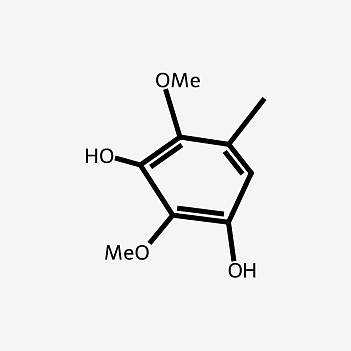 COc1c(C)cc(O)c(OC)c1O